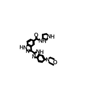 O=C(N[C@H]1CCNC1)c1ccc2[nH]nc(-c3nc4ccc(N5CCOCC5)cc4[nH]3)c2c1